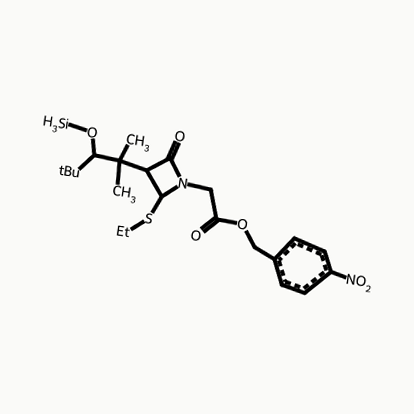 CCSC1C(C(C)(C)C(O[SiH3])C(C)(C)C)C(=O)N1CC(=O)OCc1ccc([N+](=O)[O-])cc1